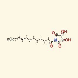 CCCCCCCCC=CCCCCCCCC(=O)N1C(=O)C(O)C(O)C1=O